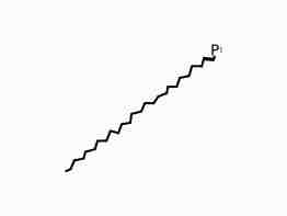 CCCCCCCCCCCCCCCCCCCCCCCC/C=C/[P]